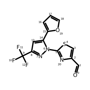 O=Cc1csc(-n2nc(C(F)(F)F)cc2-c2ccco2)n1